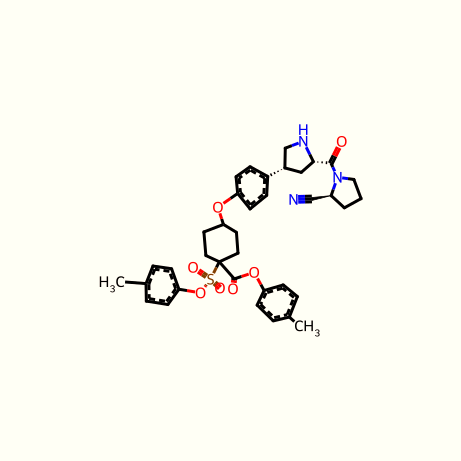 Cc1ccc(OC(=O)C2(S(=O)(=O)Oc3ccc(C)cc3)CCC(Oc3ccc([C@@H]4CN[C@H](C(=O)N5CCC[C@H]5C#N)C4)cc3)CC2)cc1